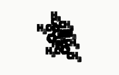 CC[CH]([Ti][NH]c1c(C)cc(C)cc1C)c1ccccc1C1=C(C)C(C)=C(C)C1.Cl.Cl